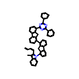 C=C/C=C\c1c(C)c2ccccc2n1-c1cccc2c1Cc1c(-c3cccc4c3Cc3c(-c5nc(-c6ccccc6)nc(-c6ccccc6)n5)cccc3-4)cccc1-2